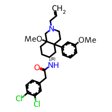 C=CCN1CCC2(c3cccc(OC)c3)C[C@H](NC(=O)Cc3ccc(Cl)c(Cl)c3)CCC2(OC)C1